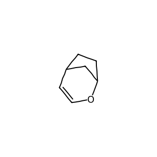 C1=CC2CCC(C2)O1